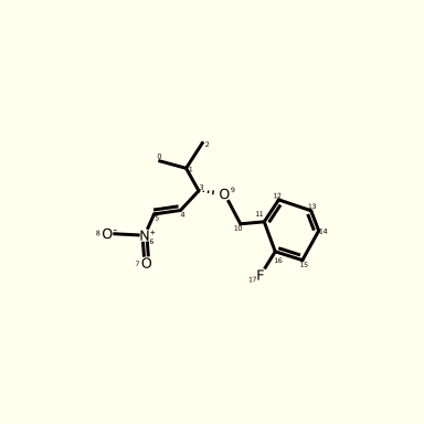 CC(C)[C@@H](/C=C/[N+](=O)[O-])OCc1ccccc1F